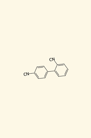 [C-]#[N+]c1ccc(-c2ccccc2[N+]#[C-])cc1